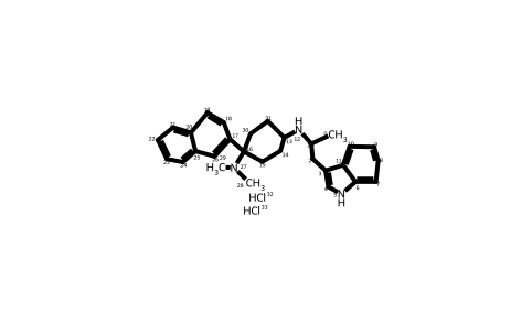 CC(Cc1c[nH]c2ccccc12)NC1CCC(c2ccc3ccccc3c2)(N(C)C)CC1.Cl.Cl